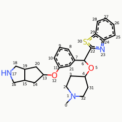 CN1CCC(OC(c2cccc(OC3CC4CNCC4C3)c2)c2nc3ccccc3s2)CC1